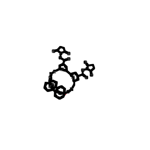 O=C(ON1C(=O)CCC1=O)c1cc2nc(c1)-c1cc(C(=O)ON3C(=O)CCC3=O)cc(n1)CN1Cc3cccc(n3)-c3cccc(n3)CN(Cc3cccc(n3)-c3cccc(n3)C1)C2